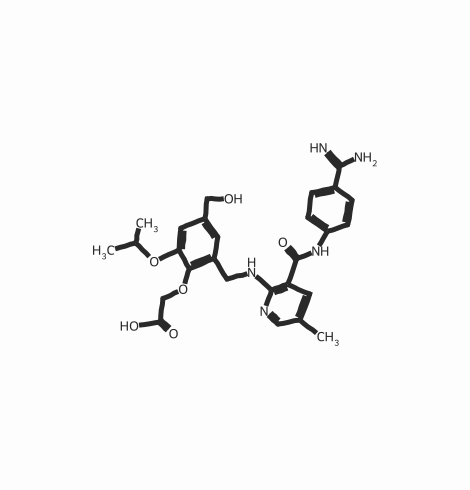 Cc1cnc(NCc2cc(CO)cc(OC(C)C)c2OCC(=O)O)c(C(=O)Nc2ccc(C(=N)N)cc2)c1